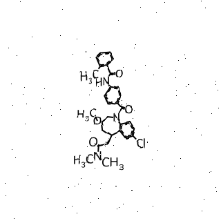 COC1CC(CC(=O)N(C)C)c2cc(Cl)ccc2N(C(=O)c2ccc(NC(=O)c3ccccc3C)cc2)C1